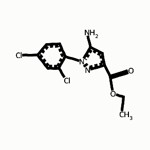 CCOC(=O)c1cc(N)n(-c2ccc(Cl)cc2Cl)n1